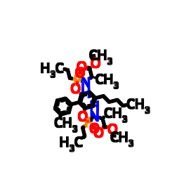 CCCCCc1cc(OP(=O)(CCC)N[C@@H](C)C(=O)OC)c(-c2cccc(C)c2)c(OP(=O)(CCC)N[C@@H](C)C(=O)OC)c1